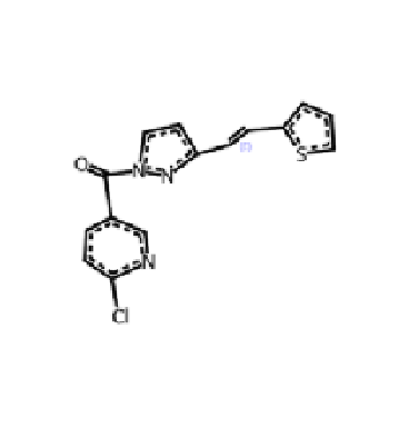 O=C(c1ccc(Cl)nc1)n1ccc(/C=C/c2cccs2)n1